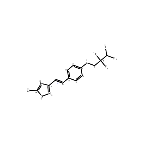 FC(F)C(F)(F)COc1ccc(/C=C/c2nsc(Cl)n2)cc1